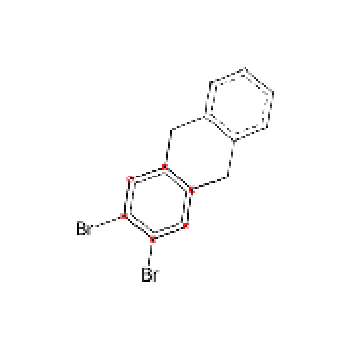 Brc1cc2c(cc1Br)C1c3ccccc3C2c2ccccc21